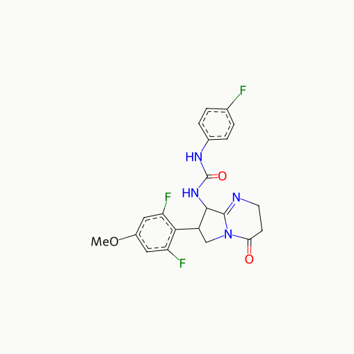 COc1cc(F)c(C2CN3C(=O)CCN=C3C2NC(=O)Nc2ccc(F)cc2)c(F)c1